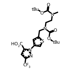 CN(CCN(Cc1cc(-n2nc(C(F)(F)F)cc2C(=O)O)cs1)C(=O)OC(C)(C)C)C(=O)OC(C)(C)C